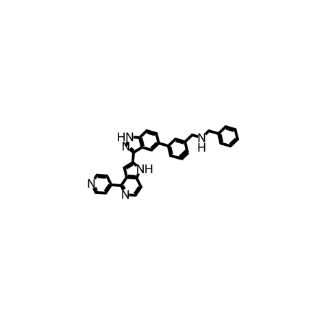 c1cc(-c2ccc3[nH]nc(-c4cc5c(-c6ccncc6)nccc5[nH]4)c3c2)cc(CNCc2ccccc2)c#1